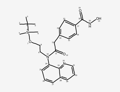 CC(C)(C)[Si](C)(C)OCCN(C(=O)Cc1ccc(C(=O)NO)cc1)c1cccc2cccnc12